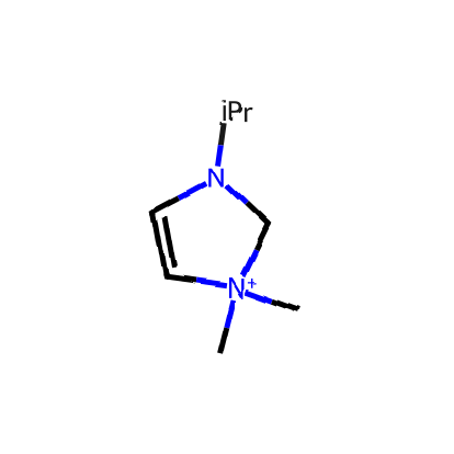 CC(C)N1C=C[N+](C)(C)C1